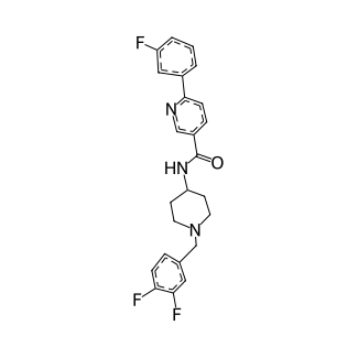 O=C(NC1CCN(Cc2ccc(F)c(F)c2)CC1)c1ccc(-c2cccc(F)c2)nc1